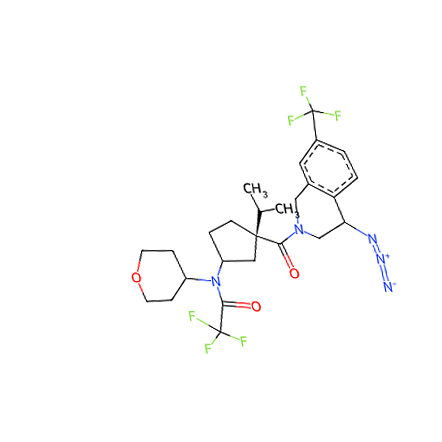 CC(C)[C@]1(C(=O)N2Cc3cc(C(F)(F)F)ccc3C(N=[N+]=[N-])C2)CCC(N(C(=O)C(F)(F)F)C2CCOCC2)C1